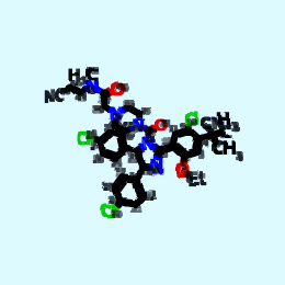 CCOc1cc(C(C)(C)C#N)c(Cl)cc1C1=N[C@@H](c2ccc(Cl)cc2)[C@@H](c2ccc(Cl)cc2)N1C(=O)N1CCN(CC(=O)N(C)CCC#N)CC1